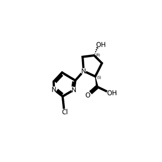 O=C(O)[C@@H]1C[C@@H](O)CN1c1ccnc(Cl)n1